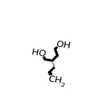 C=CC[C@H](CO)CCO